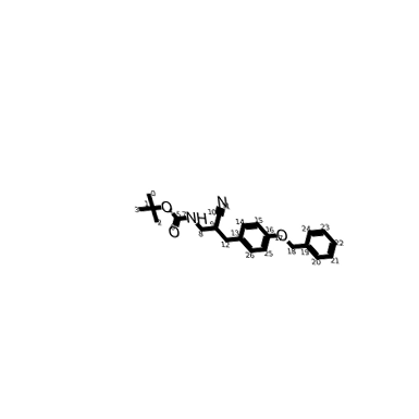 CC(C)(C)OC(=O)NCC(C#N)Cc1ccc(OCc2ccccc2)cc1